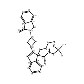 CCCCC1(C(=O)NCC(F)(F)F)C(N2CC(N3Cc4ccccc4C3=O)C2)=Cc2ccccc21